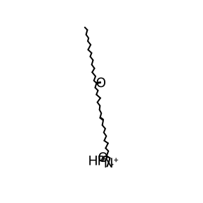 CCCCCCCCCCCCCCCC(=O)CCCCCCCCC=CCCCCCCCCC(C[N+](C)(C)C)O[PH-]